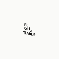 [Bi].[La].[Mn].[SrH2].[Ti]